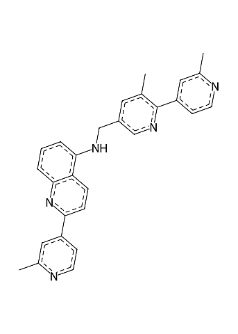 Cc1cc(-c2ccc3c(NCc4cnc(-c5ccnc(C)c5)c(C)c4)cccc3n2)ccn1